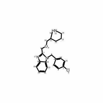 Clc1ccc(Cn2c(COCC3CCCNC3)nc3ccccc32)cc1